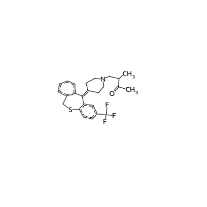 CC(=O)C(C)CN1CCC(=C2c3ccccc3CSc3ccc(C(F)(F)F)cc32)CC1